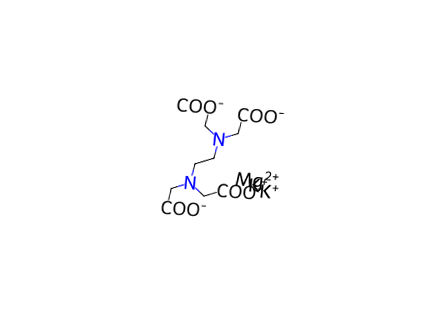 O=C([O-])CN(CCN(CC(=O)[O-])CC(=O)[O-])CC(=O)[O-].[K+].[K+].[Mg+2]